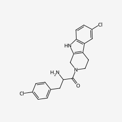 NC(Cc1ccc(Cl)cc1)C(=O)N1CCc2c([nH]c3ccc(Cl)cc23)C1